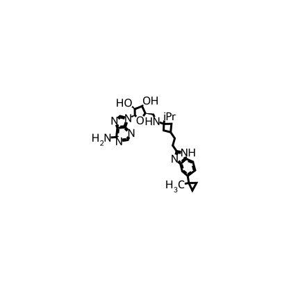 CC(C)C1(NC[C@H]2O[C@@H](n3cnc4c(N)ncnc43)[C@@H](O)[C@H]2O)CC(CCc2nc3cc(C4(C)CC4)ccc3[nH]2)C1